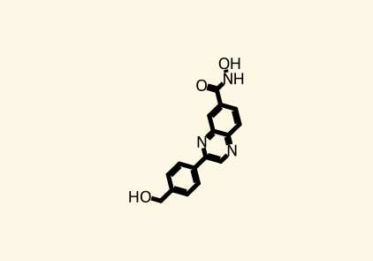 O=C(NO)c1ccc2ncc(-c3ccc(CO)cc3)nc2c1